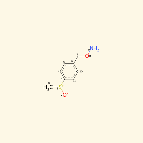 C[S+]([O-])c1ccc(CON)cc1